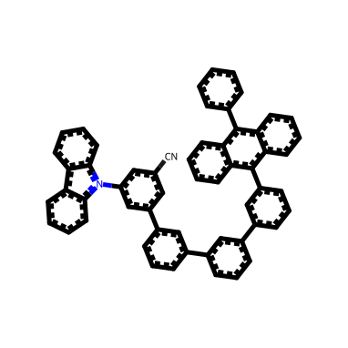 N#Cc1cc(-c2cccc(-c3cccc(-c4cccc(-c5c6ccccc6c(-c6ccccc6)c6ccccc56)c4)c3)c2)cc(-n2c3ccccc3c3ccccc32)c1